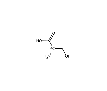 N[13C@@H](CO)C(=O)O